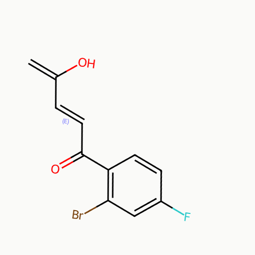 C=C(O)/C=C/C(=O)c1ccc(F)cc1Br